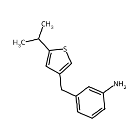 CC(C)c1cc(Cc2cccc(N)c2)cs1